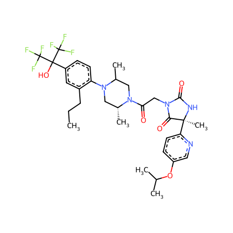 CCCc1cc(C(O)(C(F)(F)F)C(F)(F)F)ccc1N1C[C@@H](C)N(C(=O)CN2C(=O)N[C@@](C)(c3ccc(OC(C)C)cn3)C2=O)CC1C